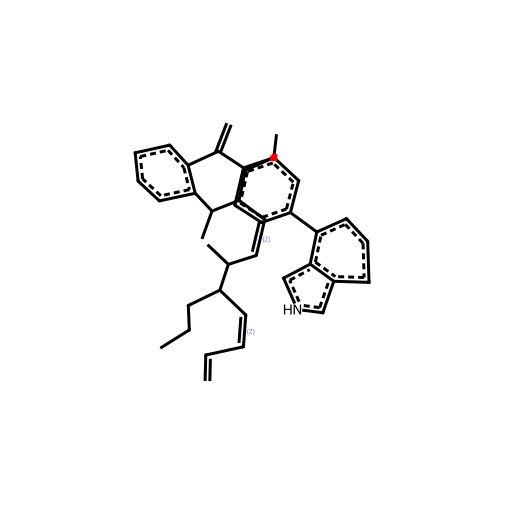 C=C/C=C\C(CCC)C(C)/C=C\C(CCC)C(C)c1ccccc1C(=C)c1ccc(-c2cccc3c[nH]cc23)cc1